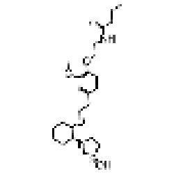 CCCC(=O)NCCOc1ccc(CCOC2CCCCC2N2CC[C@@H](O)C2)cc1OC